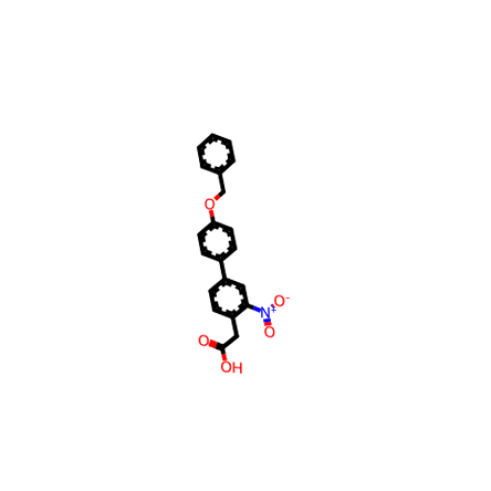 O=C(O)Cc1ccc(-c2ccc(OCc3ccccc3)cc2)cc1[N+](=O)[O-]